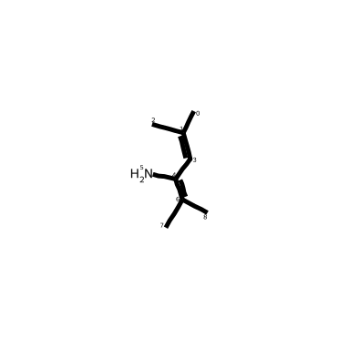 CC(C)=CC(N)=C(C)C